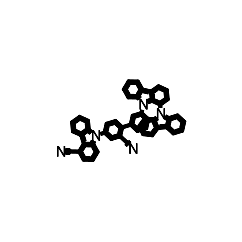 N#Cc1cc(-n2c3ccccc3c3c(C#N)cccc32)ccc1-c1cccc(-n2c3ccccc3c3cccc(-n4c5ccccc5c5ccccc54)c32)c1